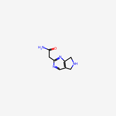 NC(=O)Cc1ncc2c(n1)CNC2